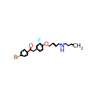 C=CCCNCC=CCOc1ccc(CC(=O)c2ccc(Br)cc2)cc1F